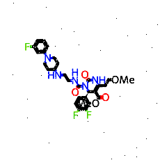 COCCC1=C(C(=O)OC)[C@H](c2ccc(F)c(F)c2)N(C(=O)NCCNC2CCN(c3cccc(F)c3)CC2)C(=O)N1